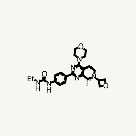 CCNC(=O)Nc1ccc(-c2nc3c(c(N4CCOCC4)n2)CCN(C2COC2)[C@@H]3C)cc1